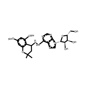 COc1cc(OC)c2c(c1)OC(C)(C)CC2NNc1ncnc2c1ncn2[C@@H]1O[C@H](CO)[C@@H](O)[C@H]1O